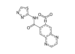 O=C(Nc1nncs1)c1cc2nccnc2cc1[SH](=O)=O